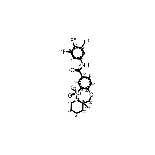 O=C(Nc1cc(F)c(F)c(F)c1)c1ccc2c(c1)S(=O)(=O)N1CCCC[C@H]1CO2